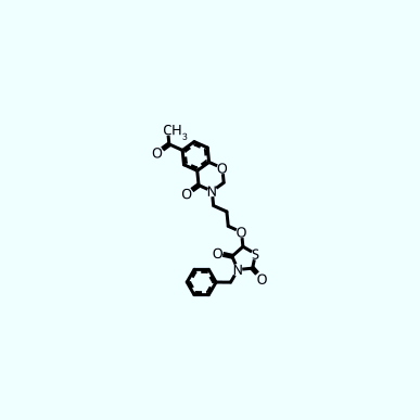 CC(=O)c1ccc2c(c1)C(=O)N(CCCOC1SC(=O)N(Cc3ccccc3)C1=O)CO2